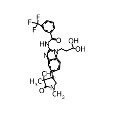 CN1C[C@H](c2ccc3c(c2)nc(NC(=O)c2cccc(C(F)(F)F)c2)n3CCC(O)O)C(C)(C)C1=O